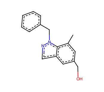 Cc1cc(CO)cc2cnn(Cc3ccccc3)c12